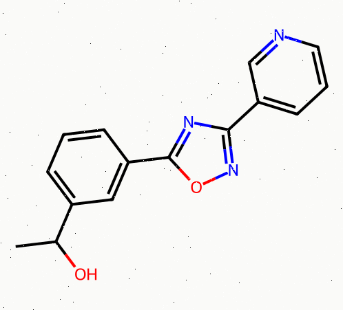 CC(O)c1cccc(-c2nc(-c3cccnc3)no2)c1